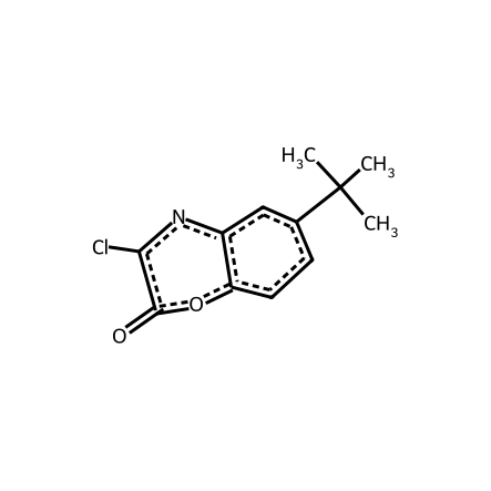 CC(C)(C)c1ccc2oc(=O)c(Cl)nc2c1